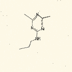 CCCNc1nc(C)nc(C)n1